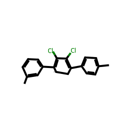 Cc1ccc(C2=C(Cl)C(Cl)=C(c3cccc(C)c3)[CH]C2)cc1